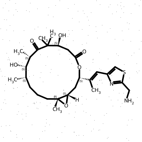 CC(=Cc1csc(CN)n1)[C@@H]1C[C@@H]2O[C@]2(C)CCC[C@H](C)[C@H](O)[C@H](C)C(=O)C(C)(C)[C@@H](O)CC(=O)O1